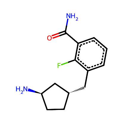 NC(=O)c1cccc(C[C@@H]2CC[C@@H](N)C2)c1F